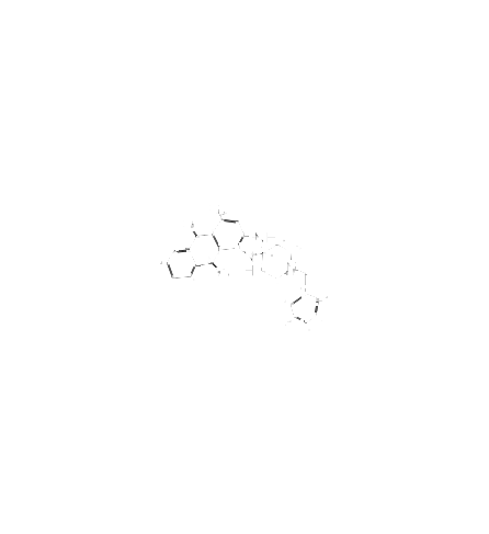 O=C1c2ccccc2C(=O)c2c3c(cc(O)c21)NC1(CCN(Cc2ccccc2)CC1)N3